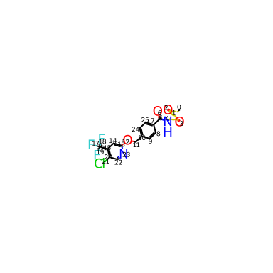 CS(=O)(=O)NC(=O)c1ccc(COc2cc(C(F)(F)F)c(Cl)cn2)cc1